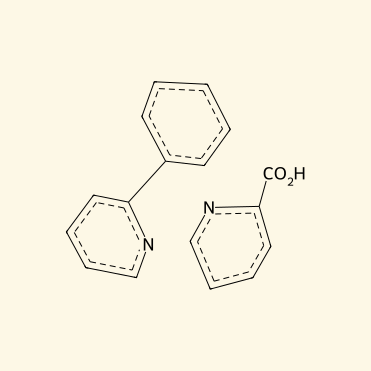 O=C(O)c1ccccn1.c1ccc(-c2ccccn2)cc1